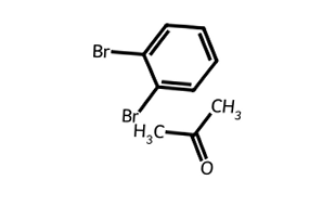 Brc1ccccc1Br.CC(C)=O